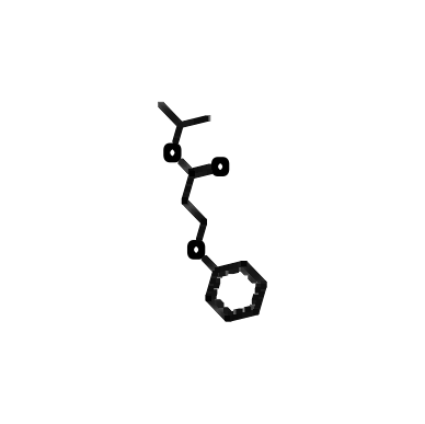 CC(C)OC(=O)CCOc1ccccc1